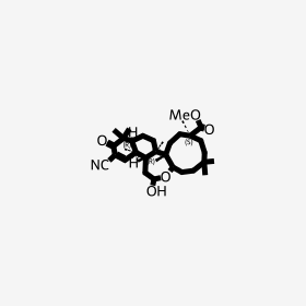 COC(=O)[C@@]1(C)CCC(C)(C)CCC2OC(O)C[C@@H]3[C@@]4(C)C=C(C#N)C(=O)C(C)(C)[C@@H]4CC[C@@]3(C)[C@]2(C)CC1